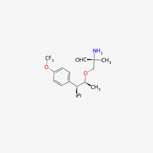 CC(C)[C@@H](c1ccc(OC(F)(F)F)cc1)[C@H](C)OC[C@@](C)(N)C=O